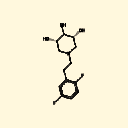 OC1[C@H](O)CN(CCc2cc(F)ccc2F)C[C@@H]1O